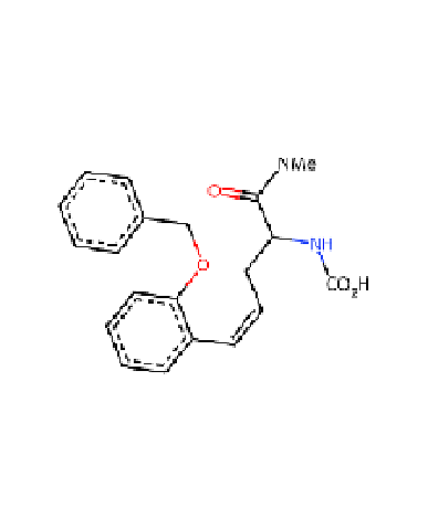 CNC(=O)C(C/C=C\c1ccccc1OCc1ccccc1)NC(=O)O